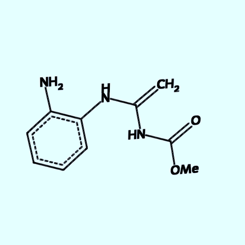 C=C(NC(=O)OC)Nc1ccccc1N